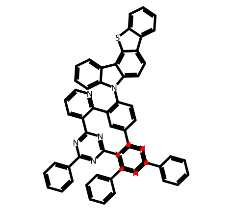 c1ccc(-c2nc(-c3ccccc3)nc(-c3ccc(-n4c5ccccc5c5c6sc7ccccc7c6ccc54)c(-c4ncccc4-c4nc(-c5ccccc5)nc(-c5ccccc5)n4)c3)n2)cc1